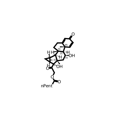 CCCCCC(=O)OCC(=O)[C@@]1(O)[C@@H]2C[C@@H]2[C@H]2[C@@H]3CCC4=CC(=O)C=C[C@]4(C)[C@H]3[C@@H](O)C[C@@]21C